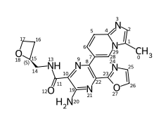 Cc1cnc2ccc(-c3nc(C(=O)NC[C@@H]4CCO4)c(N)nc3-c3ncco3)cn12